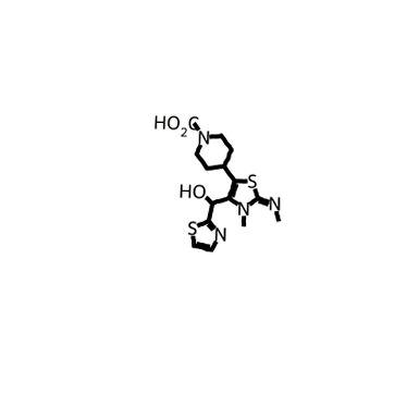 CN=c1sc(C2CCN(C(=O)O)CC2)c(C(O)c2nccs2)n1C